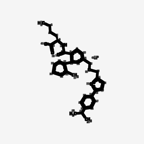 CSCC[C@H](NC(=O)c1ccc(COCc2ccc(-c3ccc(C(C)C)cc3)o2)cc1-c1ccccc1C)C(=O)[O-].[Li+]